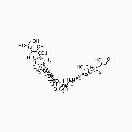 CC(=O)O.CC(=O)O.CC(=O)O.CC(=O)O.CC(=O)O.CC(C)=O.CC(C)=O.CC(C)=O.CC(C)=O.CC(C)=O.CC(N)=O.CC(N)=O.CC(N)=O.CC(N)=O.CC(N)=O.CC(O)CO.C[C@@H](O)[C@H](N)C(=O)O.C[C@H](N)C(=O)O.OCC(O)CO.OCCO